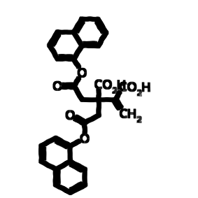 C=C(C(=O)O)C(CC(=O)Oc1cccc2ccccc12)(CC(=O)Oc1cccc2ccccc12)C(=O)O